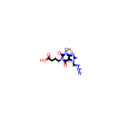 Cn1c(=O)n(CCCC(=O)O)c(=O)c2c1ncn2CN=[N+]=[N-]